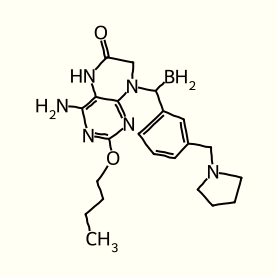 BC(c1cccc(CN2CCCC2)c1)N1CC(=O)Nc2c(N)nc(OCCCC)nc21